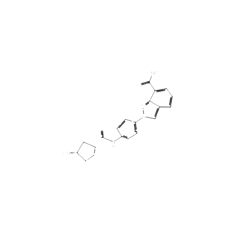 NC(=O)c1cccc2cn(-c3ccc(NC(=O)[C@@H]4CC[C@@H](N)C4)cc3)nc12